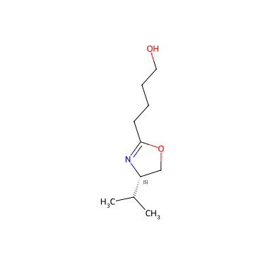 CC(C)[C@H]1COC(CCCCO)=N1